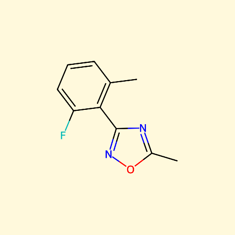 Cc1nc(-c2c(C)cccc2F)no1